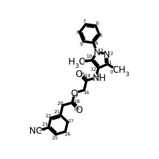 Cc1nn(-c2ccccc2)c(C)c1NC(=O)COC(=O)CC1=CC(C#N)=CCC1